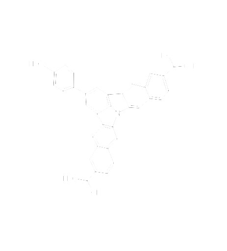 Cc1ccc(-c2cc3c4cc5cc(C(C)C)ccc5cc4n4c5cc6ccc(C(C)C)cc6cc5c(c2)c34)cc1